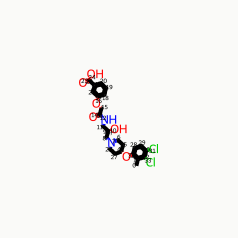 Cc1c(OC2CCN(C[C@H](O)CNC(=O)COc3cccc(C(=O)O)c3)CC2)ccc(Cl)c1Cl